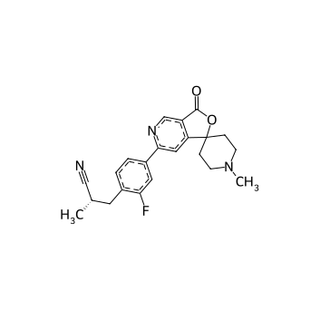 C[C@H](C#N)Cc1ccc(-c2cc3c(cn2)C(=O)OC32CCN(C)CC2)cc1F